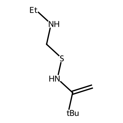 C=C(NSCNCC)C(C)(C)C